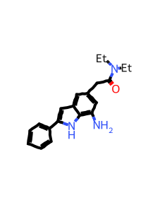 CCN(CC)C(=O)Cc1cc(N)c2[nH]c(-c3ccccc3)cc2c1